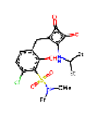 CCC(CC)Nc1c(Cc2ccc(Cl)c(S(=O)(=O)N(CC)OC)c2O)c(=O)c1=O